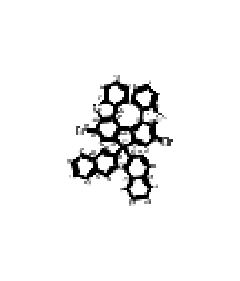 Brc1cc2c(c3c1oc1ccccc13)-c1c(cc(Br)c3oc4ccccc4c13)C2(c1ccc2ccccc2c1)c1ccc2ccccc2c1